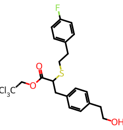 O=C(OCC(Cl)(Cl)Cl)C(Cc1ccc(CCO)cc1)SCCc1ccc(F)cc1